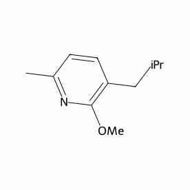 COc1nc(C)ccc1CC(C)C